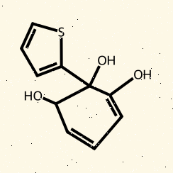 OC1=CC=CC(O)C1(O)c1cccs1